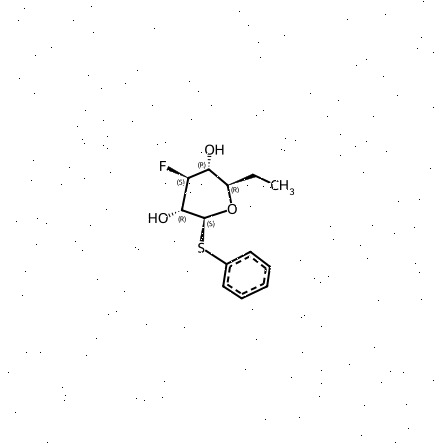 CC[C@H]1O[C@@H](Sc2ccccc2)[C@H](O)[C@@H](F)[C@@H]1O